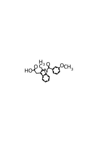 COc1cccc(C(=O)n2c(C)c(CC(=O)O)c3ccccc32)c1